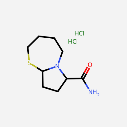 Cl.Cl.NC(=O)C1CCC2SCCCCN21